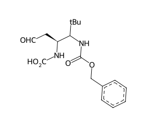 CC(C)(C)C(NC(=O)OCc1ccccc1)[C@H](CC=O)NC(=O)O